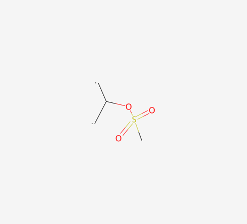 [CH2]C([CH2])OS(C)(=O)=O